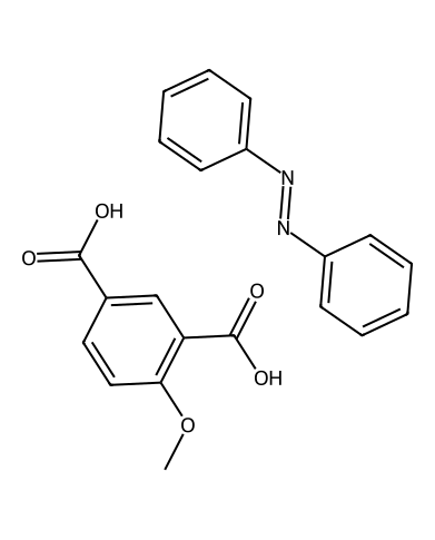 COc1ccc(C(=O)O)cc1C(=O)O.c1ccc(N=Nc2ccccc2)cc1